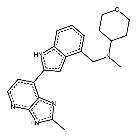 Cc1nc2c(-c3cc4c(CN(C)C5CCOCC5)cccc4[nH]3)ccnc2[nH]1